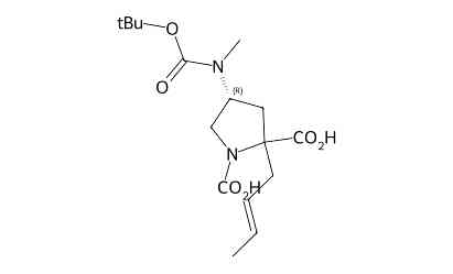 CC=CCC1(C(=O)O)C[C@@H](N(C)C(=O)OC(C)(C)C)CN1C(=O)O